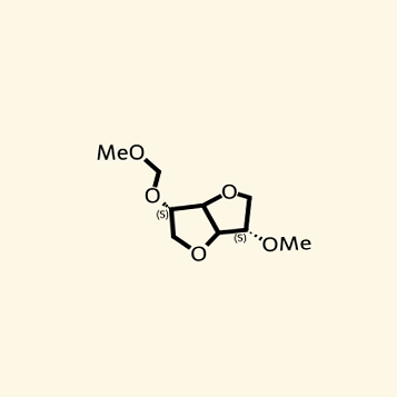 COCO[C@H]1COC2C1OC[C@@H]2OC